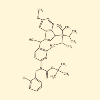 COc1cnc2c(c1)c(C(O)c1ccc(N(Cc3ccccc3Cl)C(=O)OC(C)(C)C)nc1F)cn2[Si](C(C)C)(C(C)C)C(C)C